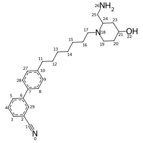 N#Cc1cccc(-c2ccc(CCCCCCCN3CCC(O)CC3CN)cc2)c1